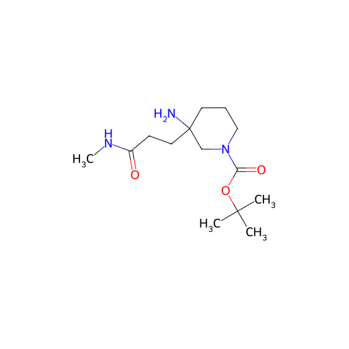 CNC(=O)CCC1(N)CCCN(C(=O)OC(C)(C)C)C1